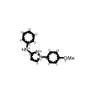 COc1ccc(-n2ccc(Nc3ccccc3)n2)cc1